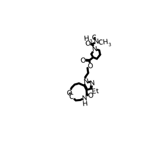 CCc1nn(CCCOC(=O)C2CCCN(C(=O)N(C)C)C2)c2c1C(=O)NCCCOCCC2